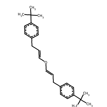 CC(C)(C)c1ccc(CC=COC=CCc2ccc(C(C)(C)C)cc2)cc1